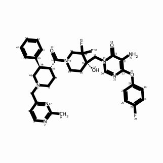 Cc1nccc(CN2CC[C@@H](C(=O)N3CC[C@](O)(Cn4cnc(Oc5ccc(F)cc5)c(N)c4=O)C(F)(F)C3)[C@H](c3ccccc3)C2)n1